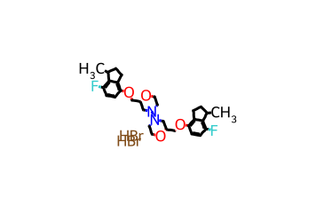 Br.Br.CC1CCc2c(OCC3CN(N4CCOC(COc5ccc(F)c6c5CCC6C)C4)CCO3)ccc(F)c21